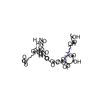 CC[C@H](O)C[C@H]1O[C@@H]1CC(C)(O)/C=C/C=C(\C)[C@H]1OC(=O)C[C@H](O)CC[C@@](C)(OC(C)=O)[C@@H](OC(=O)N2CCN(C(=O)OCc3ccc(NC(=O)[C@H](CCCNC(N)=O)NC(=O)[C@@H](NC(=O)CCCCCN4C(=O)C=CC4=O)C(C)C)cc3)CC2)/C=C/[C@@H]1C